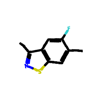 Cc1cc2snc(C)c2cc1F